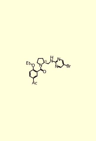 CCOc1ccc(C(C)=O)cc1C(=O)N1CCC[C@H]1CNc1ncc(Br)cn1